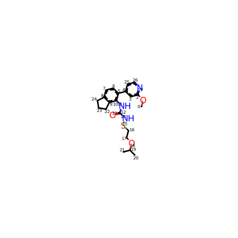 COc1cc(-c2ccc3c(c2NC(=O)NSCCOC(C)C)CCC3)ccn1